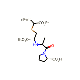 CCCCCC(SC[C@H](NC(C)C(=O)N1CCC[C@H]1C(=O)O)C(=O)OCC)C(=O)OCC